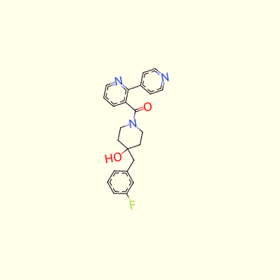 O=C(c1cccnc1-c1ccncc1)N1CCC(O)(Cc2cccc(F)c2)CC1